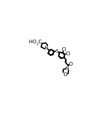 O=C(O)C1CCN(c2cccc(Sc3ccc(C=CC(=O)N4CCOCC4)c(Cl)c3Cl)c2)CC1